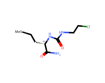 CSCC[C@H](NC(=O)NCCCl)C(N)=O